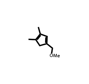 COCC1=CC(C)=C(C)C1